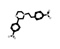 O=[N+]([O-])c1ccc(CCN2CCOC(c3ccc([N+](=O)[O-])cc3)C2)cc1